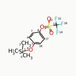 C[Si](C)(C)Oc1ccc(OS(=O)(=O)C(F)(F)F)cc1